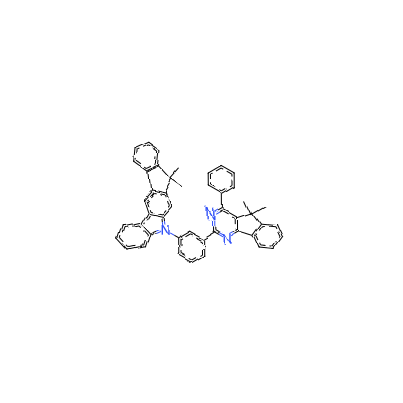 CC1(C)c2ccccc2-c2cc3c4ccccc4n(-c4cccc(-c5nc(-c6ccccc6)c6c(n5)-c5ccccc5C6(C)C)c4)c3cc21